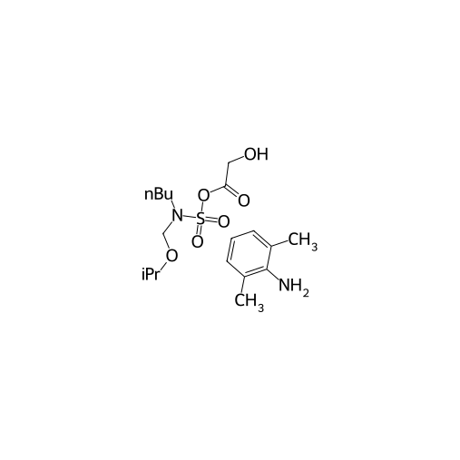 CCCCN(COC(C)C)S(=O)(=O)OC(=O)CO.Cc1cccc(C)c1N